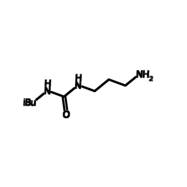 CCC(C)NC(=O)NCCCN